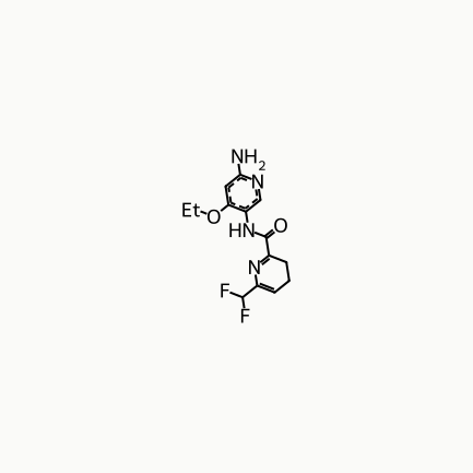 CCOc1cc(N)ncc1NC(=O)C1=NC(C(F)F)=CCC1